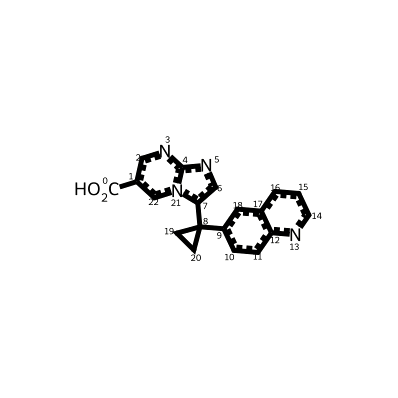 O=C(O)c1cnc2ncc(C3(c4ccc5ncccc5c4)CC3)n2c1